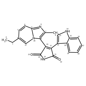 CCc1ccc2nc(C)c(C3=C(c4c[nH]c5ccccc45)C(=O)NC3=O)n2c1